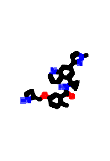 Cc1ccc(OC[C@@H]2CCN2)cc1C(=O)NC1(c2cc(-c3ccn(C)n3)cc3ncccc23)CC1